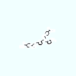 Cc1cccc(CN(CC(=O)N2CCC(C(=O)O)CC2)Cc2cccc(CNCC(=O)N3CCC(C(=O)O)CC3)n2)n1